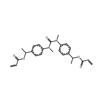 C=CC(=O)OC(C)c1ccc(N(C)C(=O)N(C)c2ccc(C(C)OC(=O)C=C)cc2)cc1